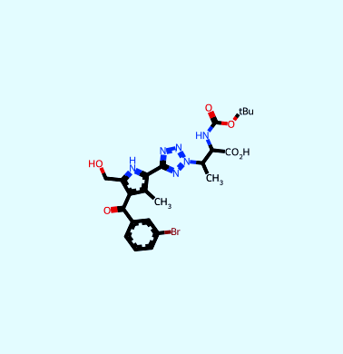 Cc1c(-c2nnn(C(C)C(NC(=O)OC(C)(C)C)C(=O)O)n2)[nH]c(CO)c1C(=O)c1cccc(Br)c1